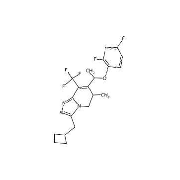 CC1Cn2c(CC3CCC3)nnc2C(C(F)(F)F)=C1C(C)Oc1ccc(F)cc1F